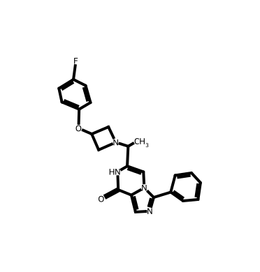 CC(c1cn2c(-c3ccccc3)ncc2c(=O)[nH]1)N1CC(Oc2ccc(F)cc2)C1